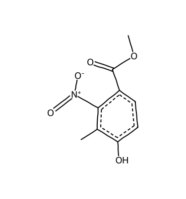 COC(=O)c1ccc(O)c(C)c1[N+](=O)[O-]